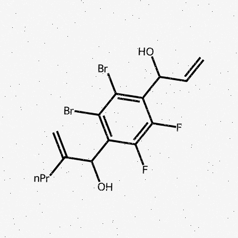 C=CC(O)c1c(F)c(F)c(C(O)C(=C)CCC)c(Br)c1Br